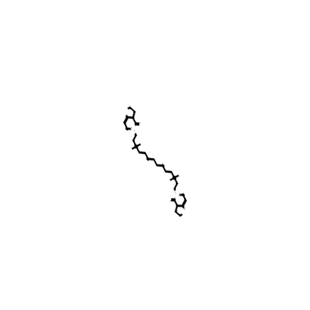 CC(C)(CCC(=O)CCC(=O)CCC(C)(C)CCN1C(=S)C=C2SCCC2C1=S)CCN1C(=S)C=C2SCCC2C1=S